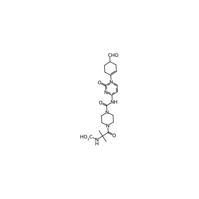 CC(C)(NC(=O)O)C(=O)N1CCN(C(=O)Nc2ccn(C3=CCC(C=O)CC3)c(=O)n2)CC1